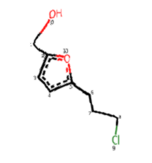 OCc1ccc(CCCCl)o1